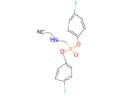 N#CCNCP(=O)(Oc1ccc(F)cc1)Oc1ccc(F)cc1